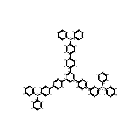 c1ccc(N(c2ccccc2)c2ccc(-c3ccc(-c4cc(-c5ccc(-c6ccc(N(c7ccccc7)c7ccccc7)cc6)cc5)cc(-c5ccc(-c6cccc(N(c7ccccc7)c7ccccc7)c6)cc5)c4)cc3)cc2)cc1